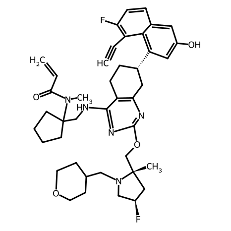 C#Cc1c(F)ccc2cc(O)cc([C@H]3CCc4c(nc(OC[C@]5(C)C[C@@H](F)CN5CC5CCOCC5)nc4NCC4(N(C)C(=O)C=C)CCCC4)C3)c12